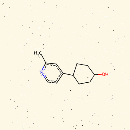 Cc1cc(C2CCC(O)CC2)ccn1